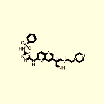 N=C/C(=C\NCCN1CCOCC1)c1cnc2ccc(Nc3nnc(NS(=O)(=O)c4ccccc4)s3)nc2c1